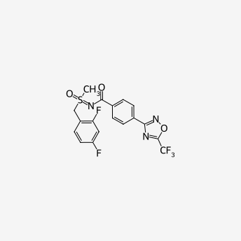 CS(=O)(Cc1ccc(F)cc1F)=NC(=O)c1ccc(-c2noc(C(F)(F)F)n2)cc1